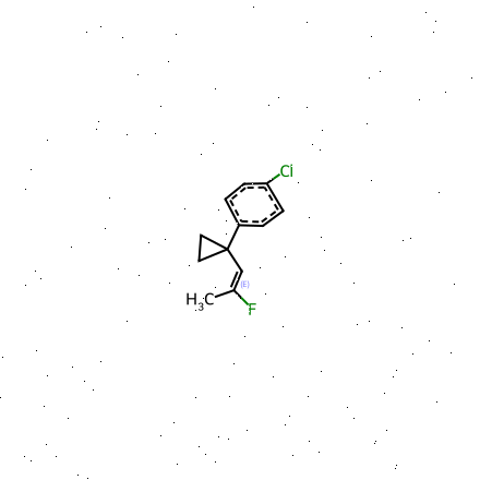 C/C(F)=C\C1(c2ccc(Cl)cc2)CC1